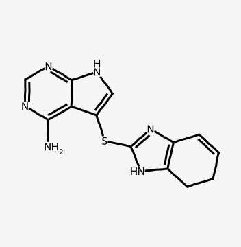 Nc1ncnc2[nH]cc(Sc3nc4c([nH]3)CCC=C4)c12